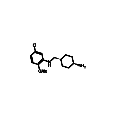 COc1ccc(Cl)cc1NC[C@H]1CC[C@H](N)CC1